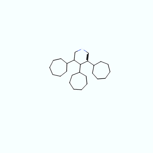 C1=C(C2CCCCCC2)C(C2CCCCCC2)C(C2CCCCCC2)C[N]1